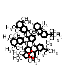 Cc1cc2c(cc1N1c3cc4c(cc3B3c5cc6c(cc5N(c5ccc(C(C)(C)C)cc5-c5ccccc5)c5cc(N7c8ccc(C(C)(C)C)cc8C8(C)CCCCC78C)cc1c53)C(C)(C)CC6(C)C)C(C)(C)CCC4(C)C)C(C)(C)CCC2(C)C